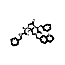 CN(C(=O)NCc1ccccc1)N1CC(=O)N2[C@@H](Cc3ccccc3)C(=O)N(Cc3ccc4cccnc4c3)C[C@@H]21